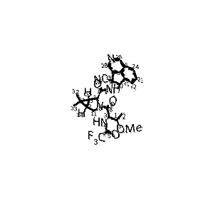 CO[C@H](C)[C@H](NC(=O)C(F)(F)F)C(=O)N1C[C@H]2[C@@H]([C@H]1C(=O)NC1(C#N)Cc3cccc4cncc1c34)C2(C)C